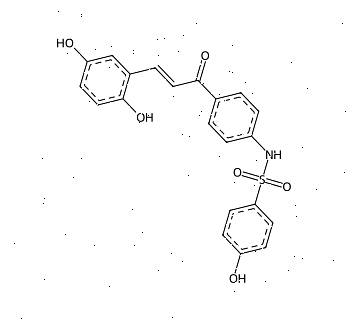 O=C(C=Cc1cc(O)ccc1O)c1ccc(NS(=O)(=O)c2ccc(O)cc2)cc1